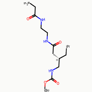 BCC(=O)NCCNC(=O)C[C@@H](CNC(=O)OC(C)(C)C)CC(C)C